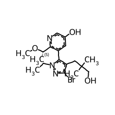 CCn1nc(Br)c(CC(C)(C)CO)c1-c1cc(O)cnc1[C@H](C)OC